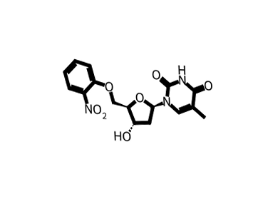 Cc1cn([C@H]2C[C@H](O)[C@@H](COc3ccccc3[N+](=O)[O-])O2)c(=O)[nH]c1=O